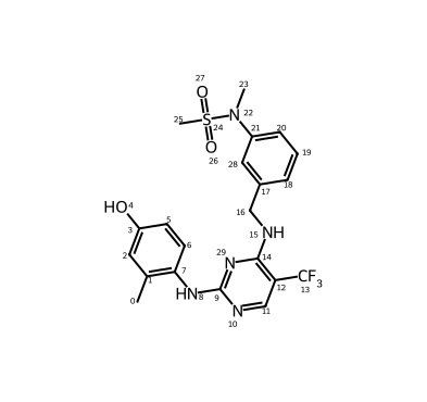 Cc1cc(O)ccc1Nc1ncc(C(F)(F)F)c(NCc2cccc(N(C)S(C)(=O)=O)c2)n1